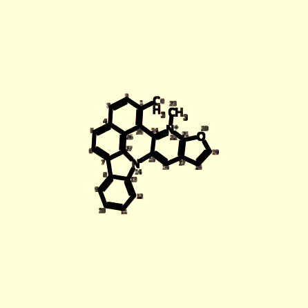 Cc1ccc2ccc3c4ccccc4n4c5cc6ccoc6[n+](C)c5c1c2c34